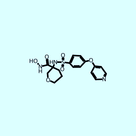 O=C(NO)C1(NS(=O)(=O)c2ccc(Oc3ccncc3)cc2)CCCOC1